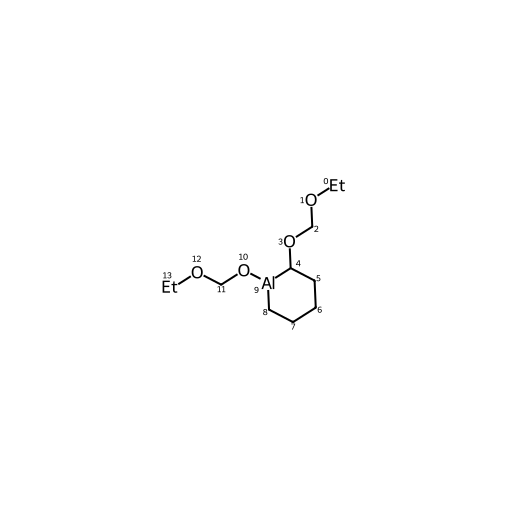 CCOCO[CH]1CCC[CH2][Al]1[O]COCC